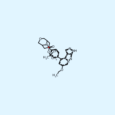 CCOc1cc(-c2ccc(N3CC4COCC(C3)N4C(=O)OC(C)(C)C)nc2)c2c3cn[nH]c3nn2c1